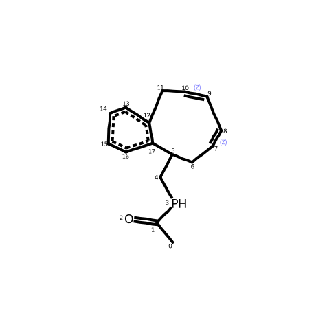 CC(=O)PCC1C/C=C\C=C/Cc2ccccc21